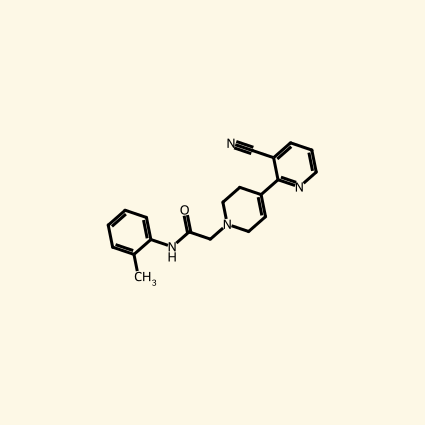 Cc1ccccc1NC(=O)CN1CC=C(c2ncccc2C#N)CC1